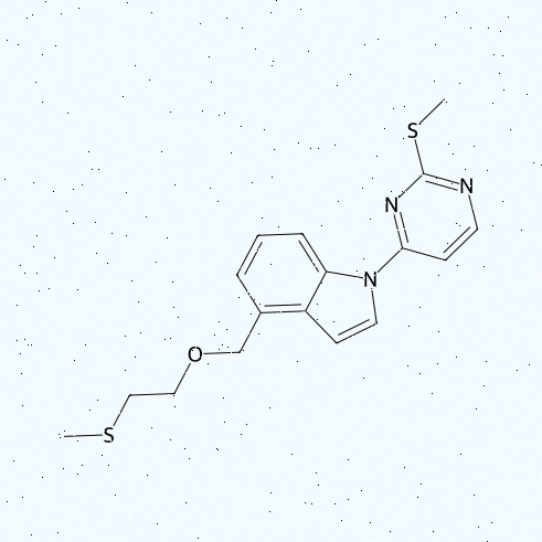 CSCCOCc1cccc2c1ccn2-c1ccnc(SC)n1